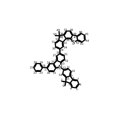 CC1(C)c2ccccc2-c2ccc(-n3c4ccc(-c5ccccc5)cc4c4cc(-c5ccc6c(c5)-c5c(ccc7c5sc5ccccc57)C6(C)C)ccc43)cc21